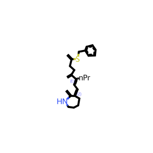 C=C(CCC(=C)/C(=C/C=C1/CCCCNC1=C)CCC)SCc1ccccc1